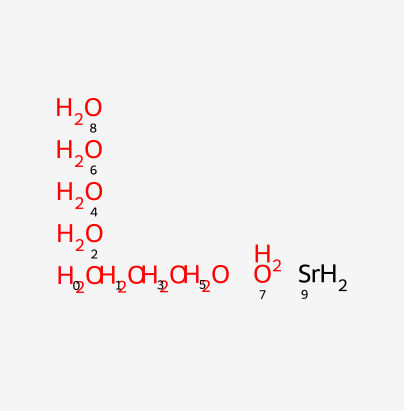 O.O.O.O.O.O.O.O.O.[SrH2]